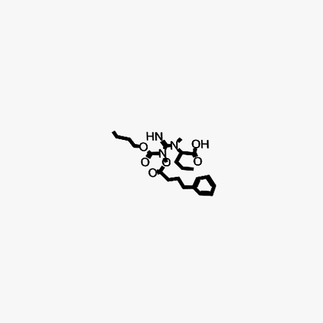 CCCCOC(=O)N(OC(=O)CCCc1ccccc1)C(=N)N(C)C(CCC)C(=O)O